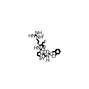 CC(C)[C@H](NC(=O)OCc1ccccc1Cl)C(=O)N1CCC[C@H]1C(=O)N[C@@H](CCCNC(=N)N)C(=O)CF